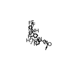 CC#CC(=O)N1CCC(c2nc(-c3ccc(C(=O)Nc4cc(C(F)(F)F)ccn4)c(C(F)(F)F)c3)n3c(N)nccc23)C1